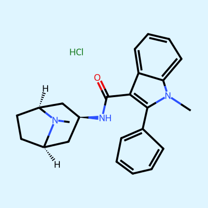 CN1[C@@H]2CC[C@H]1C[C@@H](NC(=O)c1c(-c3ccccc3)n(C)c3ccccc13)C2.Cl